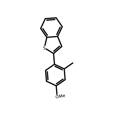 COc1ccc(-c2cc3ccccc3s2)c(C)c1